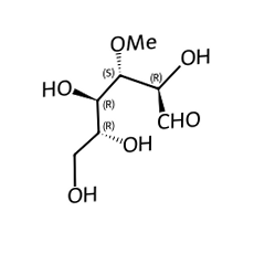 CO[C@@H]([C@H](O)[C@H](O)CO)[C@@H](O)C=O